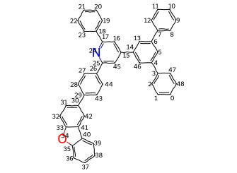 c1ccc(-c2cc(-c3ccccc3)cc(-c3cc(-c4ccccc4)nc(-c4ccc(-c5ccc6oc7ccccc7c6c5)cc4)c3)c2)cc1